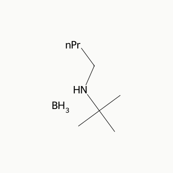 B.CCCCNC(C)(C)C